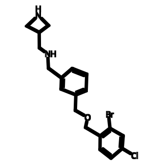 Clc1ccc(COCc2cccc(CNCC3CNC3)c2)c(Br)c1